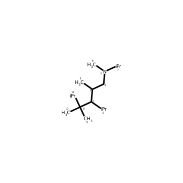 CC(C)C(C(C)CN(C)C(C)C)C(C)(C)C(C)C